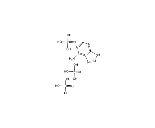 Nc1ncnc2[nH]cnc12.O=P(O)(O)O.O=P(O)(O)O.O=P(O)(O)O